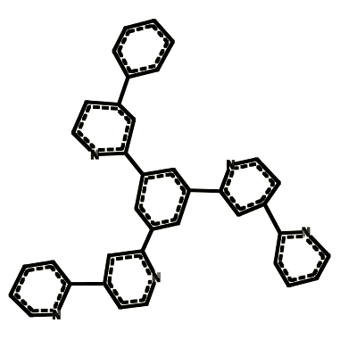 c1ccc(-c2ccnc(-c3cc(-c4cc(-c5ccccn5)ccn4)cc(-c4cc(-c5ccccn5)ccn4)c3)c2)cc1